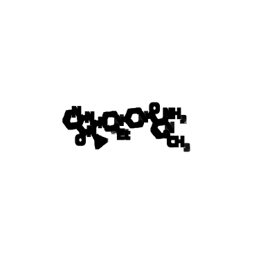 CC[C@H]1CN(c2nc3ncccc3c(=O)n2C2CC2)CCN1C1CCN(C(=O)c2ccc(C)nc2N)CC1